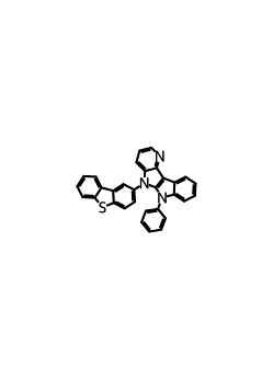 c1ccc(-n2c3ccccc3c3c4ncccc4n(-c4ccc5sc6ccccc6c5c4)c32)cc1